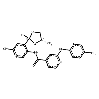 CC[C@@]1(c2cc(Cl)ncc2NC(=O)c2ccnc(Nc3ccc(C(F)(F)F)cn3)c2)OC[C@H](C(F)(F)F)O1